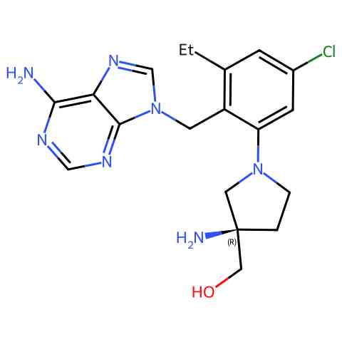 CCc1cc(Cl)cc(N2CC[C@](N)(CO)C2)c1Cn1cnc2c(N)ncnc21